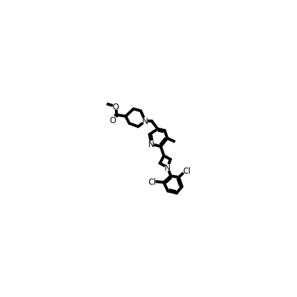 COC(=O)C1CCN(Cc2cnc(C3CN(c4c(Cl)cccc4Cl)C3)c(C)c2)CC1